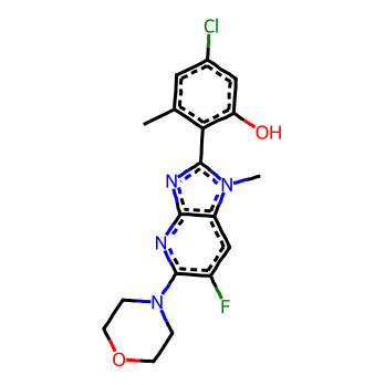 Cc1cc(Cl)cc(O)c1-c1nc2nc(N3CCOCC3)c(F)cc2n1C